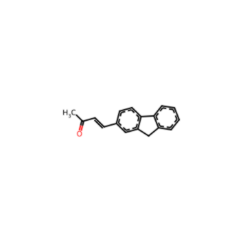 CC(=O)/C=C/c1ccc2c(c1)Cc1ccccc1-2